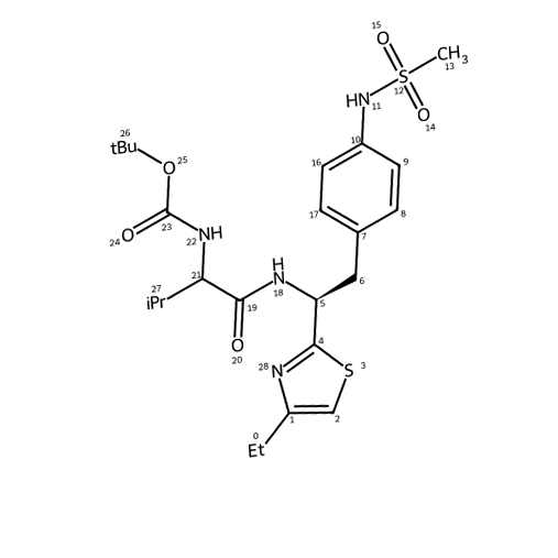 CCc1csc([C@H](Cc2ccc(NS(C)(=O)=O)cc2)NC(=O)C(NC(=O)OC(C)(C)C)C(C)C)n1